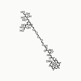 COC(=O)CN(C)C(=O)CN(C)C(=O)CN(C)C(=O)CN(C)C(=O)CN(C)C(=O)CN(C)C(=O)CNC(=O)C[C@H](N)C(=O)NCCOCCOCCOCCOCCOCCOCCN(C[C@H](O)[C@@H](O)[C@H](O)[C@H](O)CO)C[C@H](O)[C@@H](O)[C@H](O)[C@H](O)CO